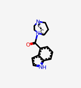 O=C(c1cccc2[nH]ccc12)N1CCN2CCC1CC2